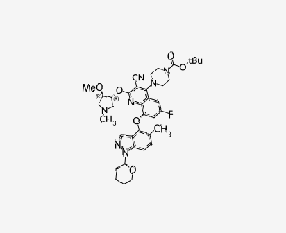 CO[C@@H]1CN(C)C[C@H]1Oc1nc2c(Oc3c(C)ccc4c3cnn4C3CCCCO3)cc(F)cc2c(N2CCN(C(=O)OC(C)(C)C)CC2)c1C#N